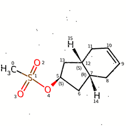 CS(=O)(=O)O[C@@H]1C[C@H]2CC=CC[C@H]2C1